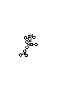 C1=C(N(c2ccc(-c3ccccc3)cc2)c2ccc3c(c2)C2(c4ccccc4-3)c3ccccc3N3c4ccccc4Oc4cccc2c43)CCC(c2ccc3c(c2)c2ccccc2n3-c2ccccc2)C1